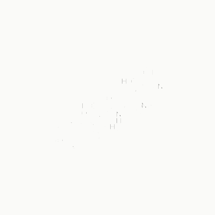 CC(C)(C#N)c1cc(NC(=O)C(C)(C)S(=O)(=O)C2CCOCC2)on1